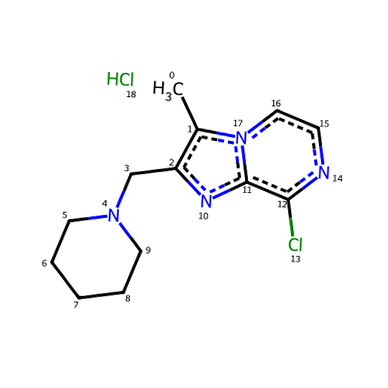 Cc1c(CN2CCCCC2)nc2c(Cl)nccn12.Cl